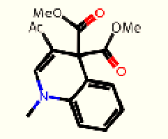 COC(=O)C1(C(=O)OC)C(C(C)=O)=CN(C)c2ccccc21